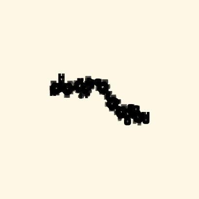 O=C1CCC(N2C(=O)c3ccc(N4CCC(CCN5CCC(OC6CN(c7ncc(-c8ccc9c(c8)[nH]c8ccncc89)cc7C(F)(F)F)C6)CC5)CC4)cc3C2=O)C(=O)N1